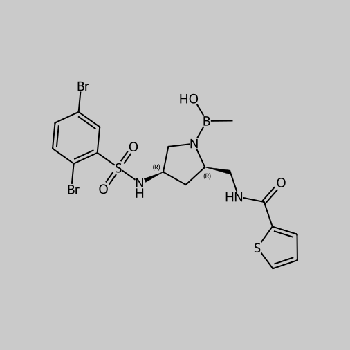 CB(O)N1C[C@H](NS(=O)(=O)c2cc(Br)ccc2Br)C[C@@H]1CNC(=O)c1cccs1